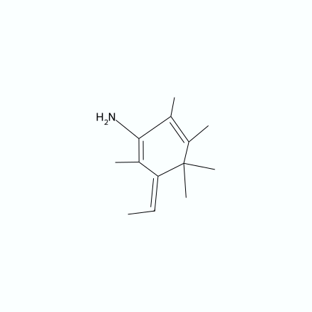 C/C=C1\C(C)=C(N)C(C)=C(C)C1(C)C